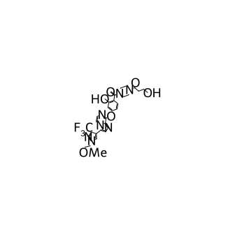 COCCn1cc(-c2cnc3c(Oc4ccc(C(=O)N5CCN(C(=O)CCO)CC5)c(O)c4)nccn23)c(C(F)(F)F)n1